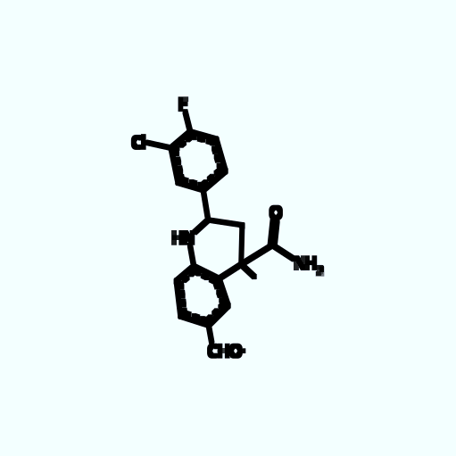 CC1(C(N)=O)CC(c2ccc(F)c(Cl)c2)Nc2ccc([C]=O)cc21